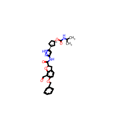 CC(C)NC(=O)O[C@@H]1CC[C@H](c2cc(NC(=O)C3Cc4ccc(OCc5ccccc5)c(C=O)c4O3)n[nH]2)C1